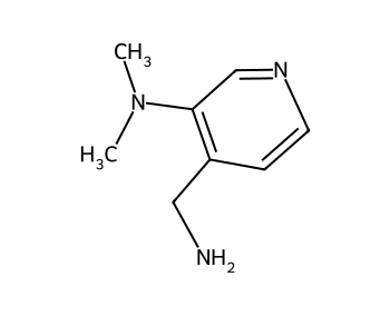 CN(C)c1cnccc1CN